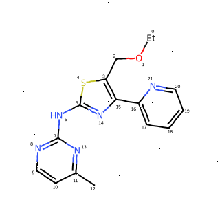 CCOCc1sc(Nc2nccc(C)n2)nc1-c1ccccn1